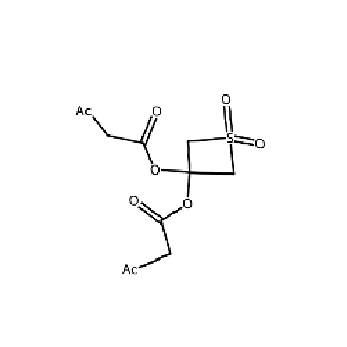 CC(=O)CC(=O)OC1(OC(=O)CC(C)=O)CS(=O)(=O)C1